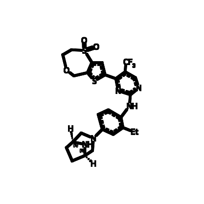 CCc1cc(N2C[C@H]3CC[C@@H](C2)N3)ccc1Nc1ncc(C(F)(F)F)c(-c2cc3c(s2)COCCS3(=O)=O)n1